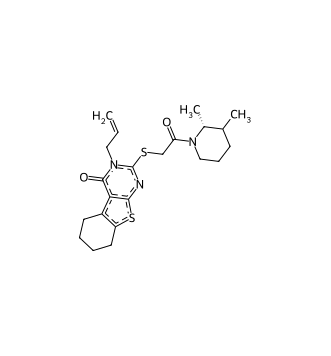 C=CCn1c(SCC(=O)N2CCCC(C)[C@H]2C)nc2sc3c(c2c1=O)CCCC3